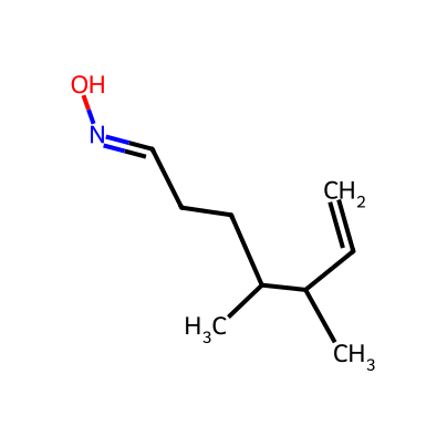 C=CC(C)C(C)CCC=NO